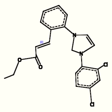 CCOC(=O)/C=C/c1ccccc1N1C=CN(c2ccc(Cl)cc2Cl)C1